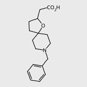 O=C(O)CC1CCC2(CCN(Cc3ccccc3)CC2)O1